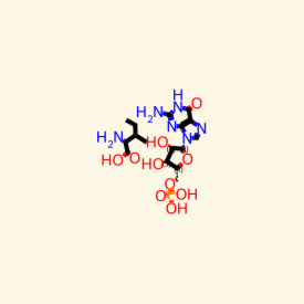 CCC(C)C(N)C(=O)O.Nc1nc2c(ncn2[C@@H]2O[C@H](COP(=O)(O)O)[C@@H](O)[C@H]2O)c(=O)[nH]1